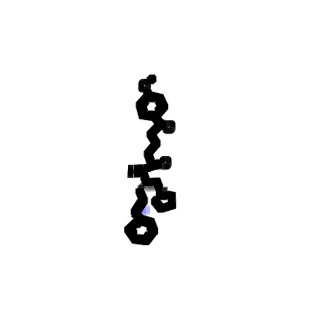 COc1ccc(C(=O)CCCC(=O)N[C@@H](C/C=C/c2ccccc2)CN2CCCC2)cc1